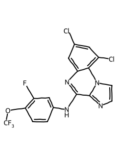 Fc1cc(Nc2nc3cc(Cl)cc(Cl)c3n3ccnc23)ccc1OC(F)(F)F